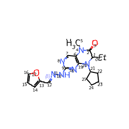 CCC1C(=O)N(C)c2cnc(N/N=C/c3ccco3)nc2N1C1CCCC1